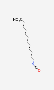 O=C=NCCCCCCCCCCCC(=O)O